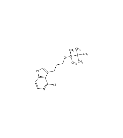 CC(C)(C)[Si](C)(C)OCCCc1c[nH]c2ccnc(Cl)c12